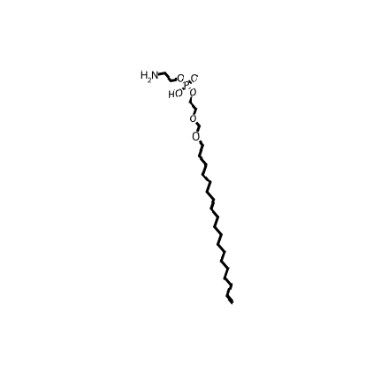 CCCCCCCCCCCCCCCCCCCOCOCCOP(=O)(O)OCCN